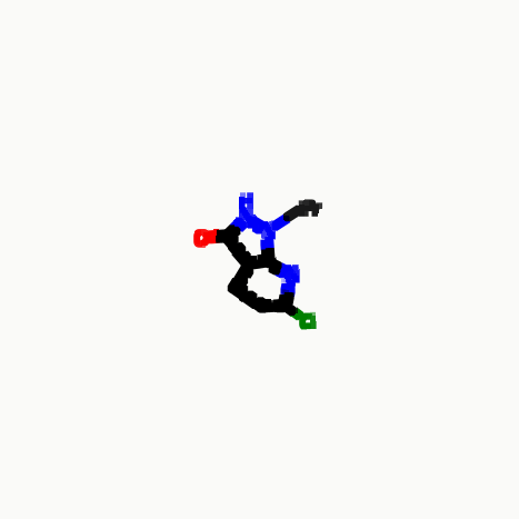 CC(C)n1[nH]c(=O)c2ccc(Cl)nc21